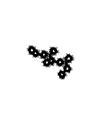 c1ccc(-c2cccc(N(c3ccccc3)c3ccc(-c4cc(N(c5ccccc5)c5ccc(-c6ccc7ccccc7c6)cc5)c5ccccc5c4)cc3)c2)cc1